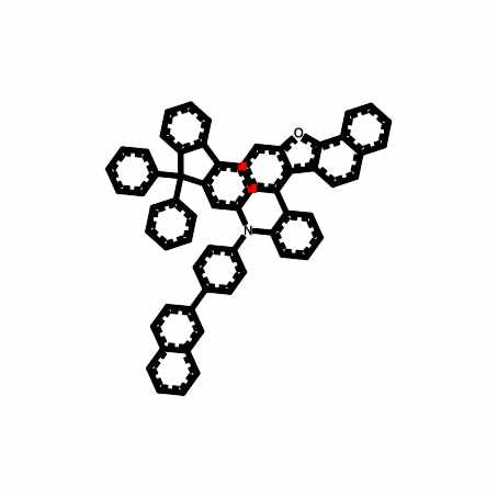 c1ccc(C2(c3ccccc3)c3ccccc3-c3ccc(N(c4ccc(-c5ccc6ccccc6c5)cc4)c4ccccc4-c4cccc5oc6c7ccccc7ccc6c45)cc32)cc1